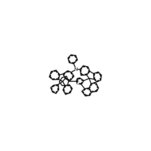 c1ccc(N(c2ccc3c(c2)-c2ccccc2C3(c2ccccc2)c2ccccc2)c2ccc3c(c2)C2(c4ccccc4-3)c3ccc(C4CCCCC4)cc3-c3cccc4cccc2c34)cc1